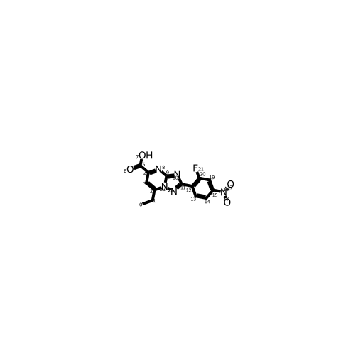 CCc1cc(C(=O)O)nc2nc(-c3ccc([N+](=O)[O-])cc3F)nn12